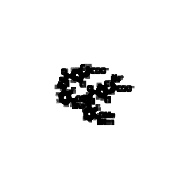 CCCCCCCCCC(OC)c1cccc(-c2csc(C(=O)c3cc(Cl)c(C=C(C)C(=O)[O-])c(Cl)c3)n2)c1F.CCCCCCCCCC(OC)c1cccc(-c2csc(C(=O)c3cc(Cl)c(C=C(C)C(=O)[O-])c(Cl)c3)n2)c1F.[Na+].[Na+]